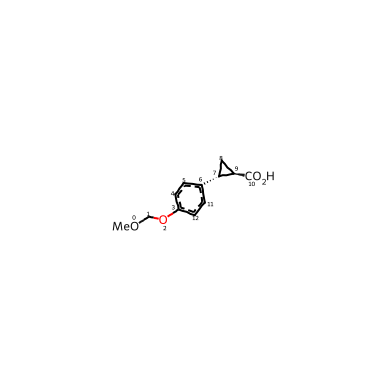 COCOc1ccc([C@@H]2C[C@H]2C(=O)O)cc1